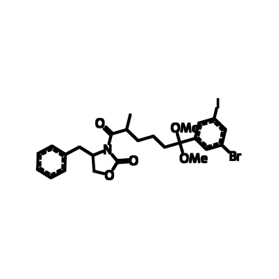 COC(CCCC(C)C(=O)N1C(=O)OCC1Cc1ccccc1)(OC)c1cc(Br)cc(I)c1